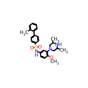 COc1ccc(NS(=O)(=O)c2ccc(-c3ccccc3C)cc2)cc1N1CC(C)NC(C)C1